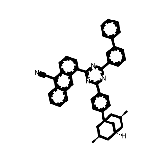 C[C@@H]1C[C@@H]2C[C@H](C)CC(c3ccc(-c4nc(-c5cccc(-c6ccccc6)c5)nc(-c5cccc6c(C#N)c7ccccc7cc56)n4)cc3)(C1)C2